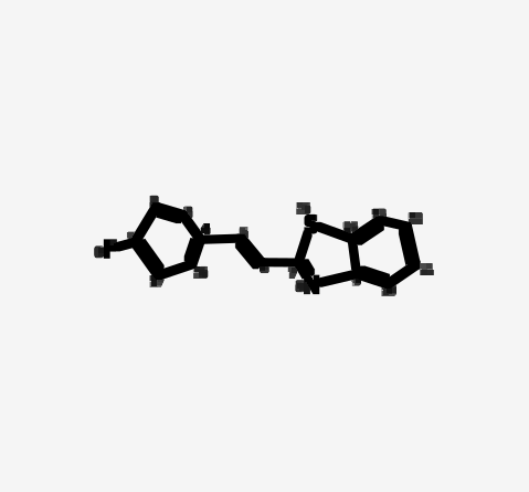 Fc1ccc(C=Cc2nc3ccccc3s2)cc1